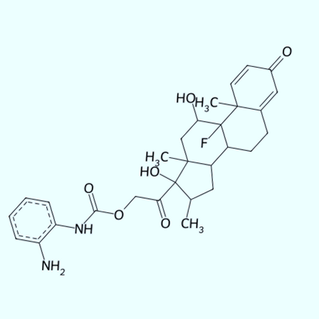 CC1CC2C3CCC4=CC(=O)C=CC4(C)C3(F)C(O)CC2(C)C1(O)C(=O)COC(=O)Nc1ccccc1N